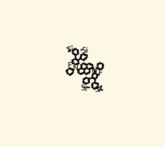 C[Si](C)(C)c1cccc(-c2cc(F)c(N(c3ccccc3)c3ccc4ccc5c(N(c6ccccc6)c6cc(-c7cccc([Si](C)(C)C)c7)c(-c7cccc([Si](C)(C)C)c7)cc6F)ccc6ccc3c4c65)cc2-c2cccc([Si](C)(C)C)c2)c1